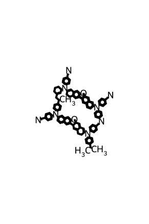 CC(C)c1ccc(N(C2=CC3=CC4Oc5cc6cc(N(c7ccc(C#N)cc7)c7ccc(C(C)CC8=CC(N(C9=Cc%10cc%11oc%12cc%13cc(N(c%14ccccc%14)c%14ccc(C#N)cc%14)ccc%13cc%12c%11cc%10CC9)c9ccc(C#N)cc9)CCC8)cc7)ccc6cc5C4C=C3CC2)c2ccc(C#N)cc2)cc1